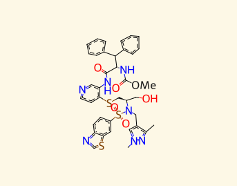 COC(=O)N[C@H](C(=O)Nc1cnccc1SC[C@@H](CO)N(Cc1cn(C)nc1C)S(=O)(=O)c1ccc2ncsc2c1)C(c1ccccc1)c1ccccc1